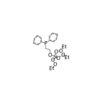 CCOO[Si](OCCP(c1ccccc1)c1ccccc1)(OOCC)OOCC